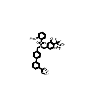 COc1ccccc1S(=O)(=O)N(Cc1ccc(-c2cccc(-c3nn[nH]n3)c2)cc1)Cc1ccc(C(F)(F)P(=O)(O)O)c(Cl)c1